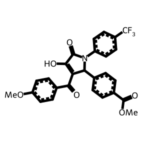 COC(=O)c1ccc(C2C(C(=O)c3ccc(OC)cc3)=C(O)C(=O)N2c2ccc(C(F)(F)F)cc2)cc1